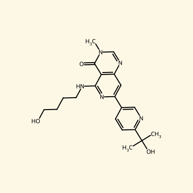 Cn1cnc2cc(-c3ccc(C(C)(C)O)nc3)nc(NCCCCO)c2c1=O